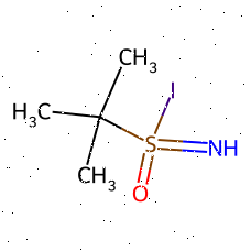 CC(C)(C)S(=N)(=O)I